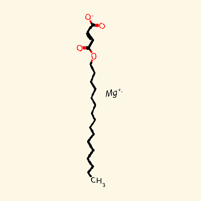 CCCCCCCCCCCCCCCCOC(=O)C=CC(=O)[O-].[Mg+]